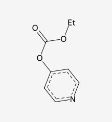 CCOC(=O)Oc1ccncc1